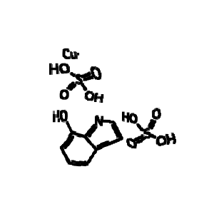 O=S(=O)(O)O.O=S(=O)(O)O.Oc1cccc2cccnc12.[Cu]